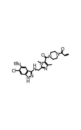 C=CC(=O)N1CCN(C(=O)c2c(C)nc(CNc3n[nH]c4cc(Cl)c(C(C)(C)C)cc34)n2C)CC1